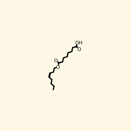 CCCC/C=C\CCOC(=O)CCCCCCC(=O)O